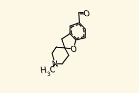 CN1CCC2(CC1)Cc1cc(C=O)ccc1O2